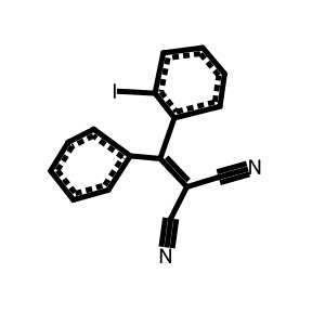 N#CC(C#N)=C(c1ccccc1)c1ccccc1I